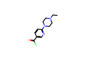 CCN1CCN(c2ccc(C(=O)Cl)cn2)CC1